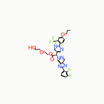 CCCOc1ccc(-c2ncc(C(C(=O)OCCOCCO)n3cc4nc(-c5cccc(F)c5F)nc-4cn3)cn2)c(C(F)(F)F)c1